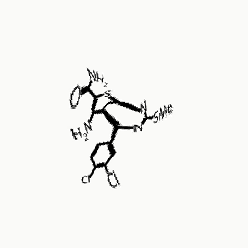 CSc1nc(-c2ccc(Cl)c(Cl)c2)c2c(N)c(C(N)=O)sc2n1